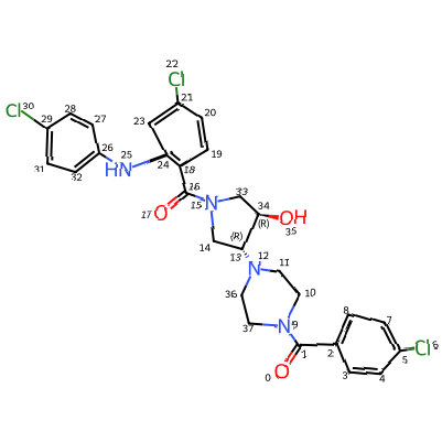 O=C(c1ccc(Cl)cc1)N1CCN([C@@H]2CN(C(=O)c3ccc(Cl)cc3Nc3ccc(Cl)cc3)C[C@H]2O)CC1